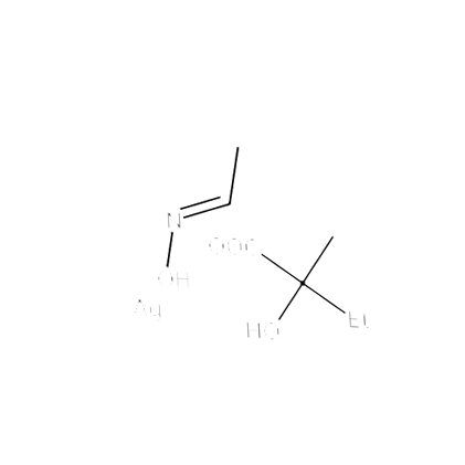 C/C=N/O.CCC(C)(O)C(=O)[O-].[Ag+]